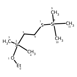 CCO[Si](C)(C)CCS[Si](C)(C)C